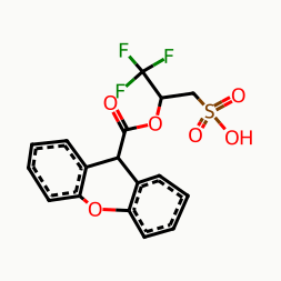 O=C(OC(CS(=O)(=O)O)C(F)(F)F)C1c2ccccc2Oc2ccccc21